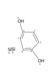 Oc1ccc(O)cc1.[Si].[Si]